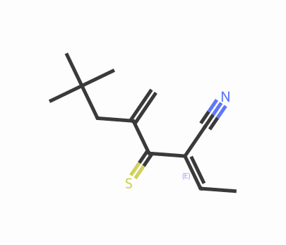 C=C(CC(C)(C)C)C(=S)/C(C#N)=C/C